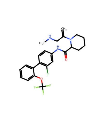 C=C(CNC)N1CCCCC1C(=O)Nc1ccc(-c2ccccc2OC(F)(F)F)c(Cl)c1